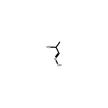 CC(S)/C=N/O